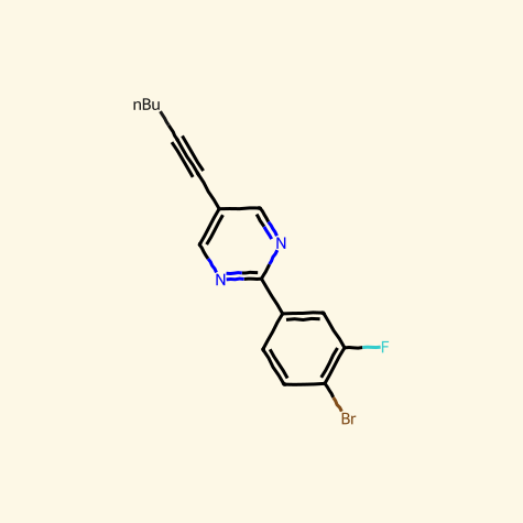 CCCCC#Cc1cnc(-c2ccc(Br)c(F)c2)nc1